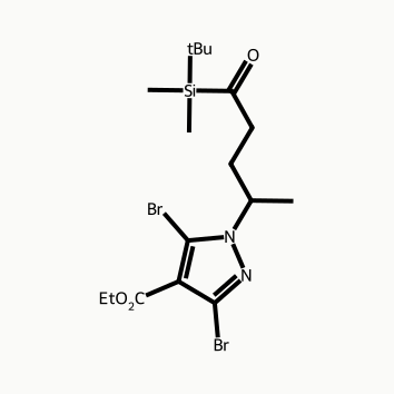 CCOC(=O)c1c(Br)nn(C(C)CCC(=O)[Si](C)(C)C(C)(C)C)c1Br